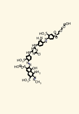 C/N=N/c1c(S(=O)(=O)O)cc2cc(SOOO)c(/N=N/c3ccc(Nc4nc(Cl)nc(Nc5ccc(/N=N/c6ccc(S(=O)(=O)CCOSOOO)cc6S(=O)(=O)O)c(N)c5)n4)cc3S(=O)(=O)O)c(O)c2c1N